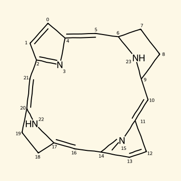 C1=CC2=NC1=CC1CCC(C=C3C=CC(=N3)C=C3CCC(=C2)N3)N1